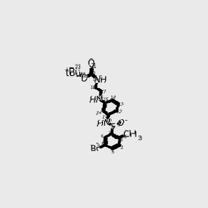 Cc1ccc(Br)cc1[S+]([O-])Nc1cccc(NCCNC(=O)OC(C)(C)C)c1